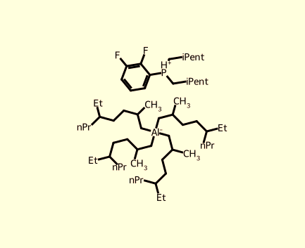 CCCC(C)C[PH+](CC(C)CCC)c1cccc(F)c1F.CCCC(CC)CCC(C)[CH2][Al-]([CH2]C(C)CCC(CC)CCC)([CH2]C(C)CCC(CC)CCC)[CH2]C(C)CCC(CC)CCC